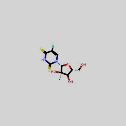 C[C@@]1(O)C(O)[C@@H](CO)O[C@H]1n1cc(F)c(=S)[nH]c1=S